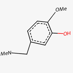 [CH2-][NH2+]Cc1ccc(OC)c(O)c1